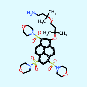 CC(C)(CCN)OCCC(C)(C)Oc1cc(S(=O)(=O)N2CCOCC2)c2ccc3c(S(=O)(=O)N4CCOCC4)cc(S(=O)(=O)N4CCOCC4)c4ccc1c2c43